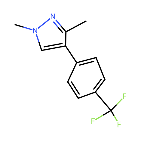 Cc1nn(C)cc1-c1ccc(C(F)(F)F)cc1